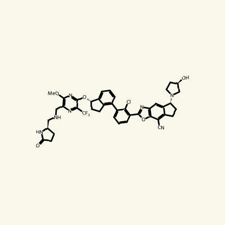 COc1nc(O[C@H]2CCc3c(-c4cccc(-c5nc6cc7c(c(C#N)c6o5)CC[C@H]7N5CC[C@@H](O)C5)c4Cl)cccc32)c(C(F)(F)F)nc1CNC[C@H]1CCC(=O)N1